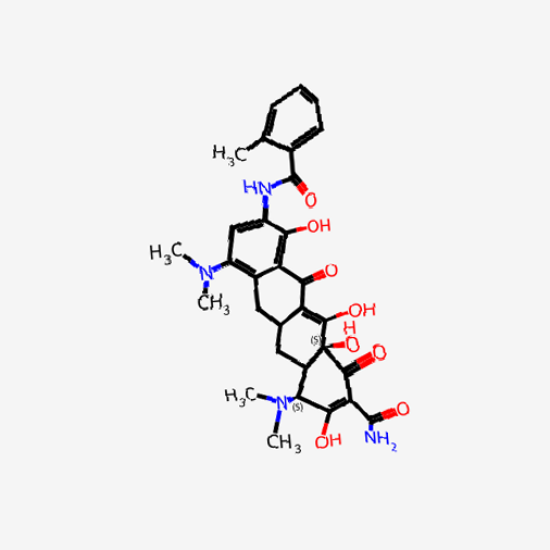 Cc1ccccc1C(=O)Nc1cc(N(C)C)c2c(c1O)C(=O)C1=C(O)[C@]3(O)C(=O)C(C(N)=O)=C(O)[C@@H](N(C)C)C3CC1C2